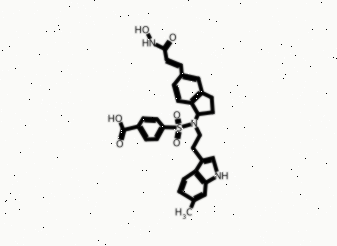 Cc1ccc2c(CCN(C3CCc4cc(/C=C/C(=O)NO)ccc43)S(=O)(=O)c3ccc(C(=O)O)cc3)c[nH]c2c1